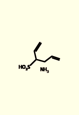 C=CCC(C=C)S(=O)(=O)O.N